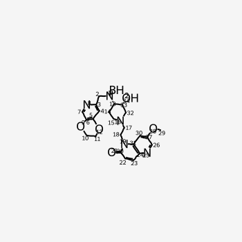 BN(Cc1cc2c(cn1)OCCO2)[C@H]1CCN(CCn2c(=O)ccc3ncc(OC)cc32)C[C@H]1O